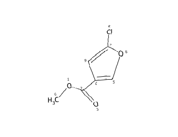 COC(=O)c1coc(Cl)c1